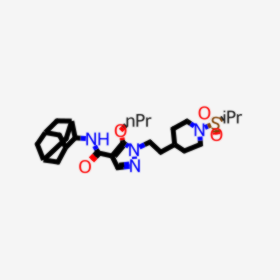 CCCOc1c(C(=O)NC2C3CC4CC(C3)CC2C4)cnn1CCC1CCN(S(=O)(=O)C(C)C)CC1